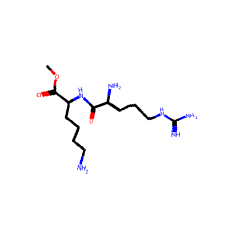 COC(=O)C(CCCCN)NC(=O)C(N)CCCNC(=N)N